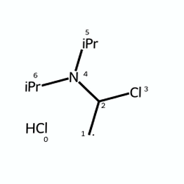 Cl.[CH2]C(Cl)N(C(C)C)C(C)C